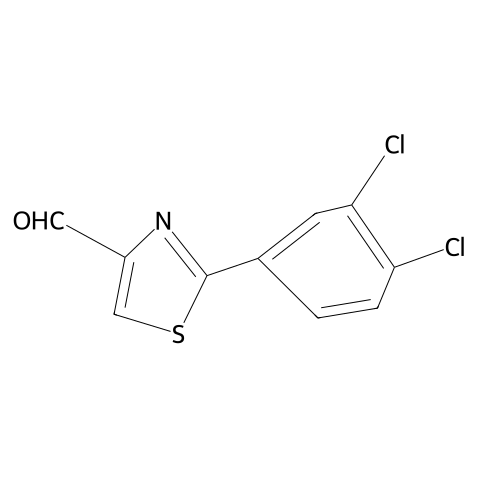 O=Cc1csc(-c2ccc(Cl)c(Cl)c2)n1